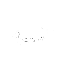 CN(C)CCNS(=O)(=O)OCC(=O)Nc1nc2c(s1)[C@H](c1ccc(F)c(F)c1)CCC2